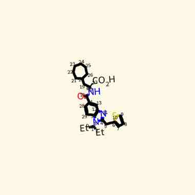 CCC(CC)n1c(Cc2cccs2)nc2cc(C(=O)N[C@@H](CC3CCCCCC3)C(=O)O)ccc21